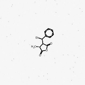 CCC(c1ccccc1)C1C(=O)OC(=O)[C@H]1C